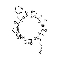 C#CCCC[C@H]1OC(=O)[C@H]([C@@H](C)CC)NC(=O)[C@@H]2CCCN2C(=O)[C@H](Cc2ccccc2)OC(=O)[C@H](C(C)C)N(C)C(=O)[C@H](C(C)C)NC(=O)[C@H]1C